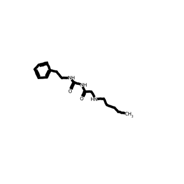 CCCCCNCC(=O)NC(=O)NCCc1ccccc1